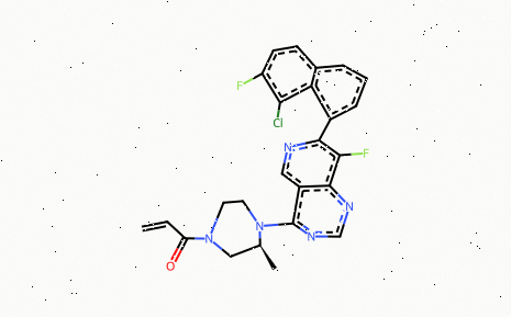 C=CC(=O)N1CCN(c2ncnc3c(F)c(-c4cccc5ccc(F)c(Cl)c45)ncc23)[C@@H](C)C1